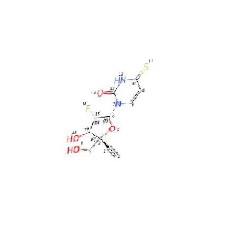 C#C[C@]1(CO)O[C@@H](n2ccc(=S)[nH]c2=O)[C@@H](F)C1O